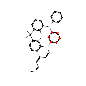 CC1(C)c2cccc(P(\C=C/C(N)=C\C=N/N)c3ccccc3)c2Oc2c(P(c3ccccc3)c3ccccc3)cccc21